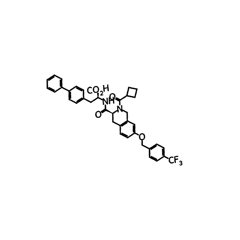 O=C(O)[C@H](Cc1ccc(-c2ccccc2)cc1)NC(=O)[C@@H]1Cc2ccc(OCc3ccc(C(F)(F)F)cc3)cc2CN1C(=O)C1CCC1